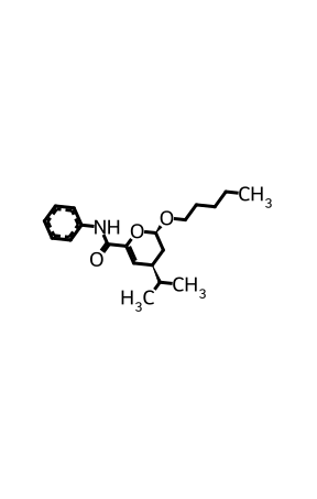 CCCCCO[C@H]1C[C@@H](C(C)C)C=C(C(=O)Nc2ccccc2)O1